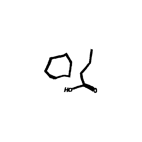 CCCC(=O)O.[CH]1CCCCC1